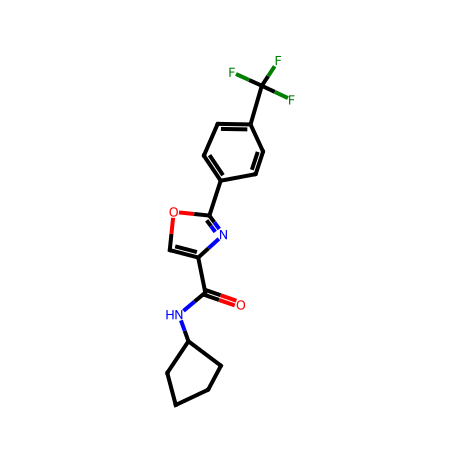 O=C(NC1CCCC1)c1coc(-c2ccc(C(F)(F)F)cc2)n1